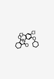 O=C1C2=C(CCCC2)C(=O)N1c1cc(OC2CCCCC2)c(Cl)cc1Cl